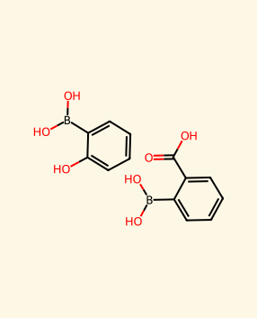 O=C(O)c1ccccc1B(O)O.OB(O)c1ccccc1O